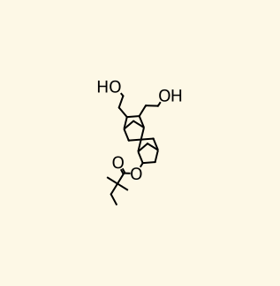 CCC(C)(C)C(=O)OC1CC2CC1C1(C2)CC2CC1C(CCO)C2CCO